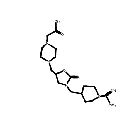 N=C(N)N1CCC(CN2CC(CN3CCN(CC(=O)O)CC3)OC2=O)CC1